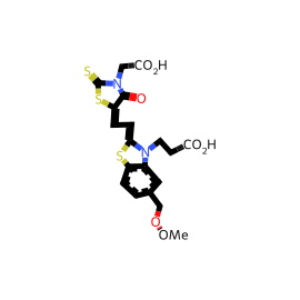 COOCc1ccc2c(c1)N(CCC(=O)O)/C(=C/C=C1/SC(=S)N(CC(=O)O)C1=O)S2